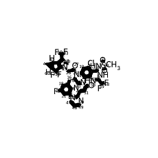 CS(=O)(=O)NC(=N)c1c(Cl)ccc(-n2c([C@H](Cc3cc(F)cc(F)c3)NC(=O)Cn3nc(C(F)F)c4c3C(F)(F)[C@@H]3C[C@H]43)nc(-c3ncccn3)cc2=O)c1NCC(F)F